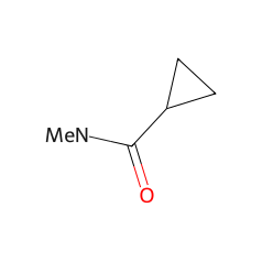 [CH]NC(=O)C1CC1